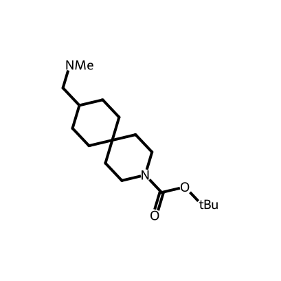 CNCC1CCC2(CC1)CCN(C(=O)OC(C)(C)C)CC2